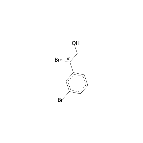 OC[C@@H](Br)c1cccc(Br)c1